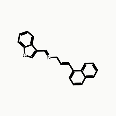 C(=Cc1cccc2ccccc12)CN=Cc1coc2ccccc12